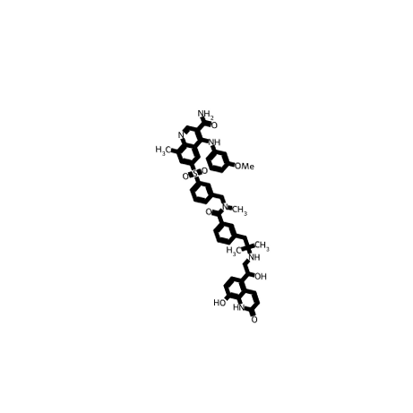 COc1cccc(Nc2c(C(N)=O)cnc3c(C)cc(S(=O)(=O)c4cccc(CN(C)C(=O)c5cccc(CC(C)(C)NCC(O)c6ccc(O)c7[nH]c(=O)ccc67)c5)c4)cc23)c1